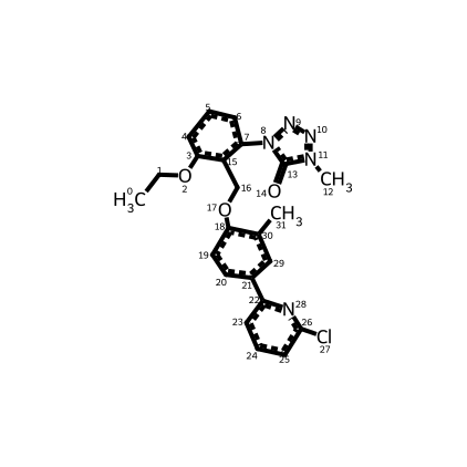 CCOc1cccc(-n2nnn(C)c2=O)c1COc1ccc(-c2cccc(Cl)n2)cc1C